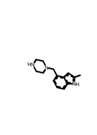 Cc1cc2c(CN3CCNCC3)cccc2[nH]1